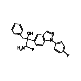 NC(F)C(O)(Cc1ccccc1)c1ccc2c(cnn2-c2ccc(F)cc2)c1